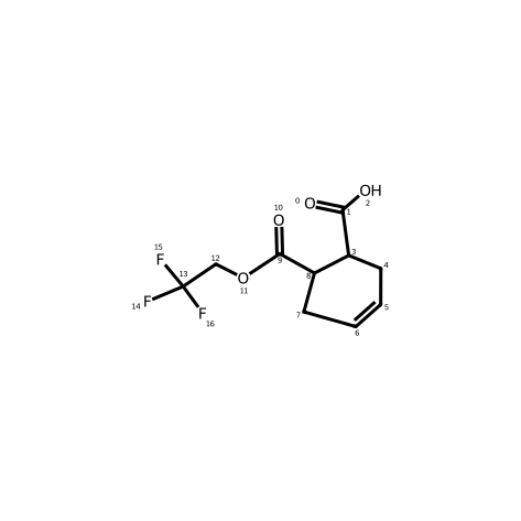 O=C(O)C1CC=CCC1C(=O)OCC(F)(F)F